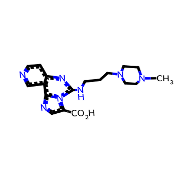 CN1CCN(CCCNc2nc3ccncc3c3ncc(C(=O)O)n23)CC1